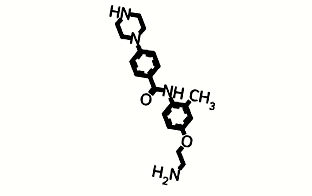 Cc1cc(OCCN)ccc1NC(=O)c1ccc(N2CCNCC2)cc1